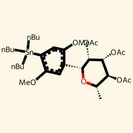 CCC[CH2][Sn]([CH2]CCC)([CH2]CCC)[c]1cc(OC)c([C@H]2O[C@@H](C)[C@H](OC(C)=O)[C@@H](OC(C)=O)[C@H]2OC(C)=O)cc1OC